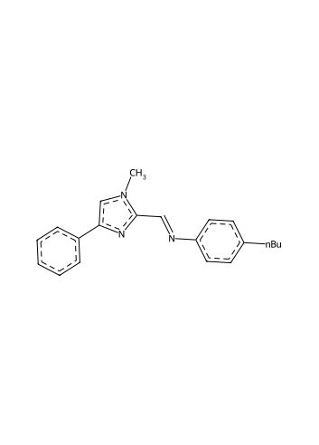 CCCCc1ccc(/N=C/c2nc(-c3ccccc3)cn2C)cc1